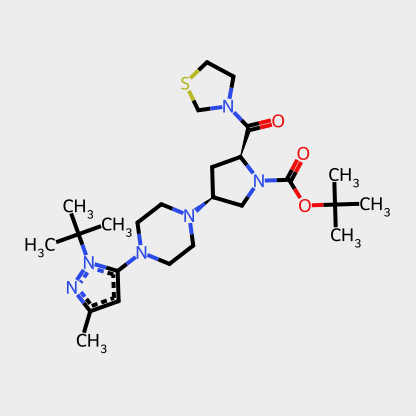 Cc1cc(N2CCN([C@H]3C[C@@H](C(=O)N4CCSC4)N(C(=O)OC(C)(C)C)C3)CC2)n(C(C)(C)C)n1